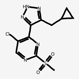 CS(=O)(=O)c1ncc(Cl)c(-c2n[nH]nc2CC2CC2)n1